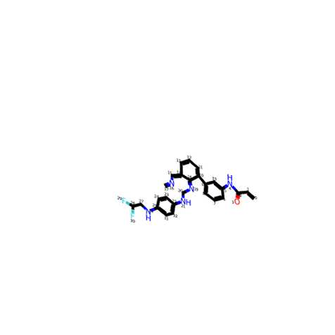 C=CC(=O)Nc1cccc(C2=CC=CC(=C/N=C)/C2=N\CNc2ccc(NCC(F)F)cc2)c1